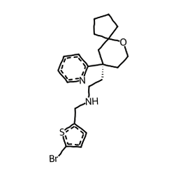 Brc1ccc(CNCC[C@@]2(c3ccccn3)CCOC3(CCCC3)C2)s1